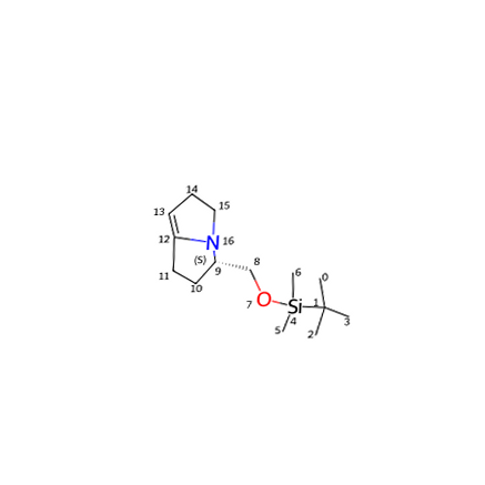 CC(C)(C)[Si](C)(C)OC[C@@H]1CCC2=CCCN21